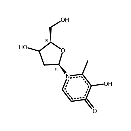 Cc1c(O)c(=O)ccn1[C@H]1CC(O)[C@@H](CO)O1